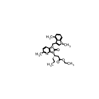 CCC[C@@H](CC(=O)OCC)n1c(=O)n(Cc2cn(C)c3cccc(C)c23)c2ccc(C)nc21